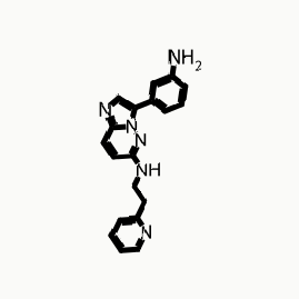 Nc1cccc(-c2cnc3ccc(NCCc4ccccn4)nn23)c1